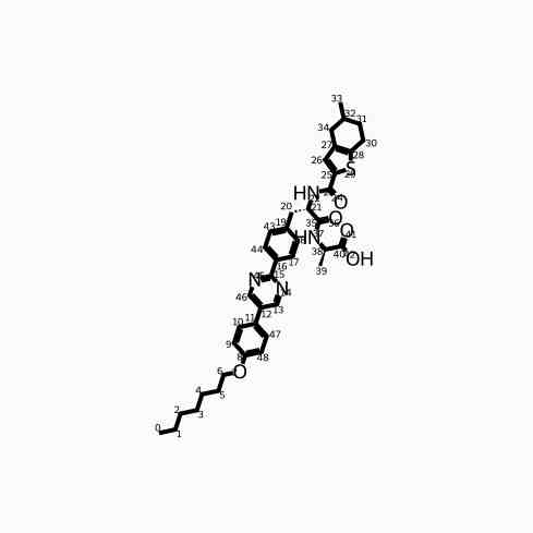 CCCCCCCOc1ccc(-c2cnc(-c3ccc(C[C@H](NC(=O)c4cc5c(s4)CCC(C)C5)C(=O)N[C@H](C)C(=O)O)cc3)nc2)cc1